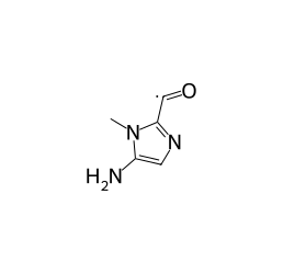 Cn1c(N)cnc1[C]=O